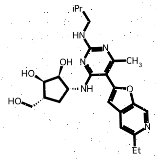 CCc1cc2cc(-c3c(C)nc(NCC(C)C)nc3N[C@@H]3C[C@H](CO)[C@@H](O)[C@H]3O)oc2cn1